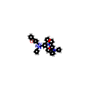 c1ccc(-c2nc(-c3cc(-c4ccccc4)c(-n4c5ccccc5c5cc6c(cc54)c4ccccc4n6-c4ccccc4)c(-c4ccccc4)c3)nc(-c3ccc4c(c3)oc3ccccc34)n2)cc1